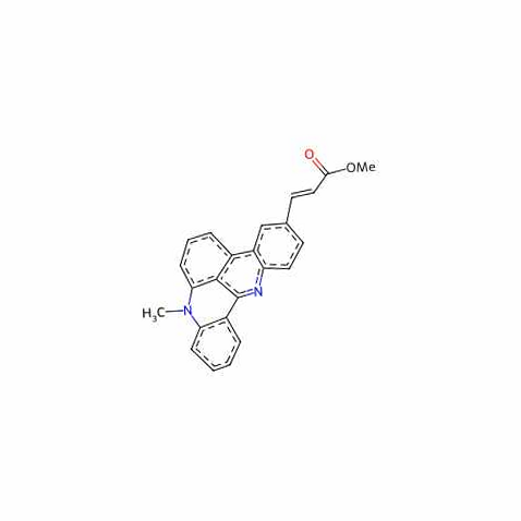 COC(=O)C=Cc1ccc2nc3c4c(cccc4c2c1)N(C)c1ccccc1-3